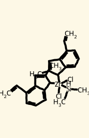 C=Cc1cccc2c1C=C(C)[CH]2[Zr]([Cl])([Cl])([CH]1C(C)=Cc2c(C=C)cccc21)[SiH](C)C